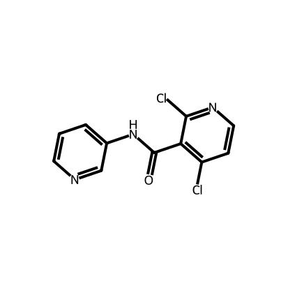 O=C(Nc1cccnc1)c1c(Cl)ccnc1Cl